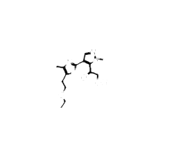 CCOCCc1sc(-c2cnn(C)c2C(=O)CO)nc1C